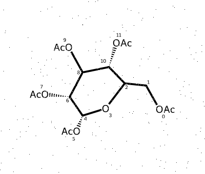 CC(=O)OCC1O[C@H](OC(C)=O)[C@H](OC(C)=O)C(OC(C)=O)[C@@H]1OC(C)=O